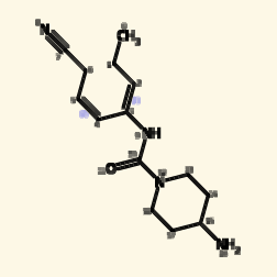 CC/C=C(\C=C/CC#N)NC(=O)N1CCC(N)CC1